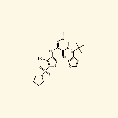 CS/N=C(/Nc1csc(S(=O)(=O)N2CCCC2)c1O)C(=N)N(C)[C@@H](c1ccoc1)C(C)(C)C